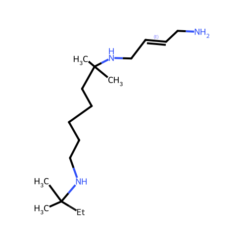 CCC(C)(C)NCCCCCC(C)(C)NC/C=C/CN